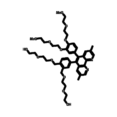 COCCOCCOc1ccc(-c2c(-c3ccc(COCCOCCO)c(COCCOCCO)c3)c3cc(C)cnc3c3ncc(C)cc23)cc1OCCOCCOC